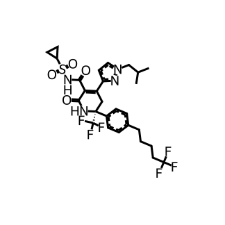 CC(C)Cn1ccc(C2=C(C(=O)NS(=O)(=O)C3CC3)C(=O)N[C@@](c3ccc(CCCCC(F)(F)F)cc3)(C(F)(F)F)C2)n1